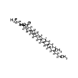 CCCCCC/C=C/CCCCCCCCCC(=O)O.CCCCCCCCCCCCCCCCCCCCCCCCCCC